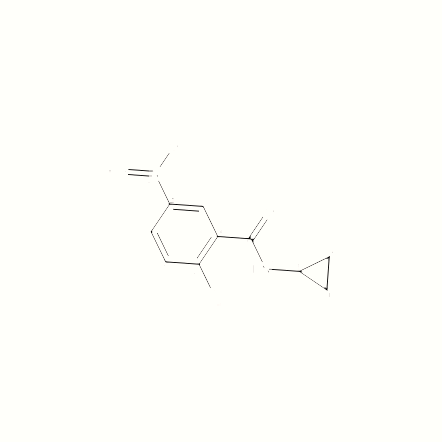 O=C(NC1CC1)c1cc([N+](=O)[O-])ccc1Cl